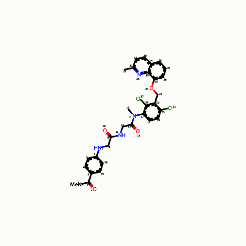 CNC(=O)c1ccc(NCC(=O)NCC(=O)N(C)c2ccc(Cl)c(COc3cccc4ccc(C)nc34)c2Cl)cc1